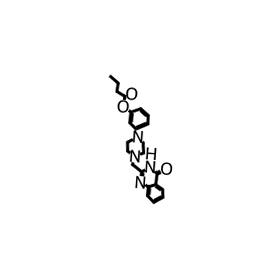 CCCC(=O)Oc1cccc(N2CCN(Cc3nc4ccccc4c(=O)[nH]3)CC2)c1